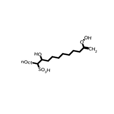 C=C(CCCCCCCC(O)C(CCCCCCCC)S(=O)(=O)O)OO